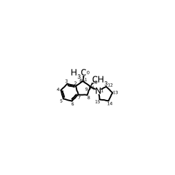 C[C@@H]1c2ccccc2C[C@@]1(C)N1CCCC1